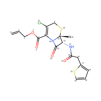 C=CCOC(=O)C1=C(Cl)CS[C@@H]2[C@H](NC(=O)Cc3cccs3)C(=O)N12